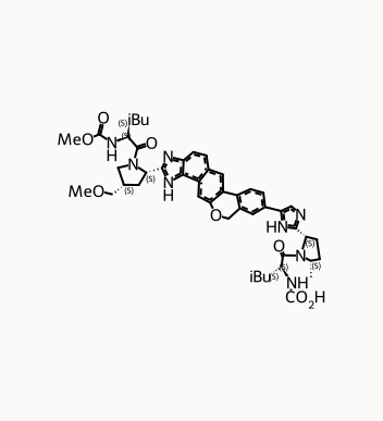 CC[C@H](C)[C@H](NC(=O)OC)C(=O)N1C[C@@H](COC)C[C@H]1c1nc2ccc3cc4c(cc3c2[nH]1)OCc1cc(-c2cnc([C@@H]3CC[C@H](C)N3C(=O)[C@@H](NC(=O)O)[C@@H](C)CC)[nH]2)ccc1-4